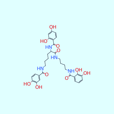 O=C(NCCCCC(NC(=O)c1ccc(O)cc1O)C(=O)NCCCCNC(=O)c1cccc(O)c1O)c1ccc(O)c(O)c1